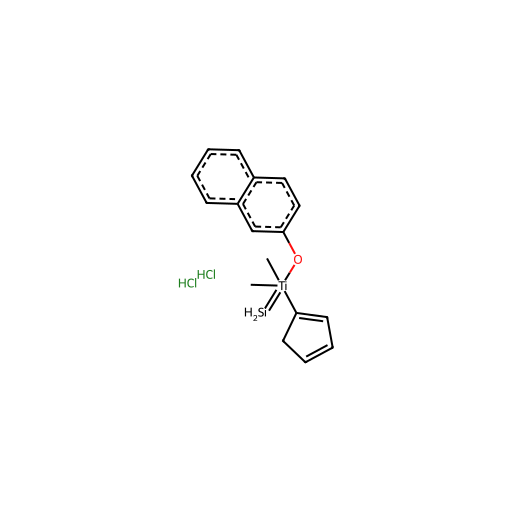 Cl.Cl.[CH3][Ti]([CH3])(=[SiH2])([O]c1ccc2ccccc2c1)[C]1=CC=CC1